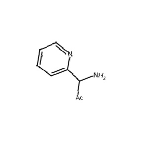 CC(=O)C(N)c1ccccn1